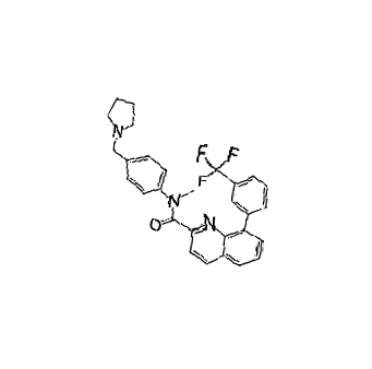 CN(C(=O)c1ccc2cccc(-c3cccc(C(F)(F)F)c3)c2n1)c1ccc(CN2CCCC2)cc1